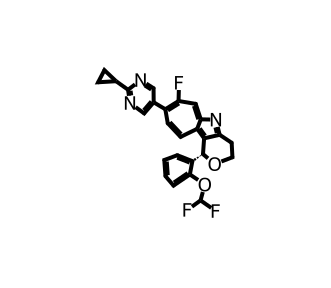 Fc1cc2nc3c(c-2ccc1-c1cnc(C2CC2)nc1)[C@@H](c1ccccc1OC(F)F)OCC3